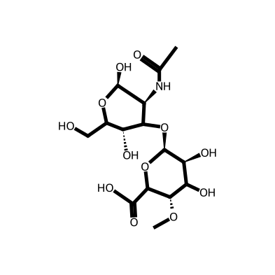 CO[C@@H]1C(C(=O)O)O[C@@H](OC2[C@H](O)C(CO)O[C@@H](O)[C@H]2NC(C)=O)[C@@H](O)C1O